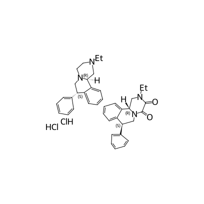 CCN1CCN2C[C@@H](c3ccccc3)c3ccccc3[C@@H]2C1.CCN1C[C@H]2c3ccccc3[C@H](c3ccccc3)CN2C(=O)C1=O.Cl.Cl